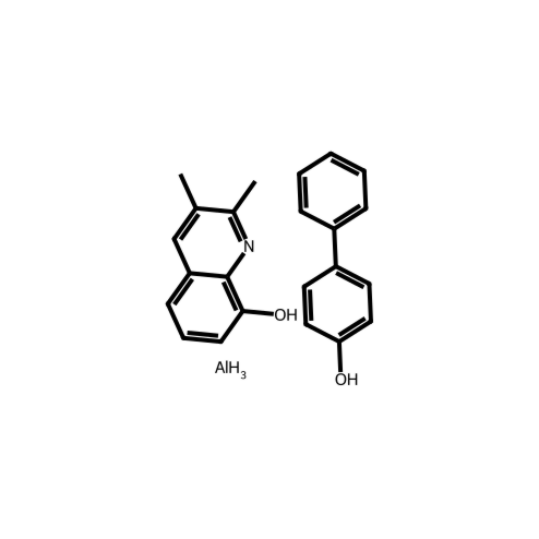 Cc1cc2cccc(O)c2nc1C.Oc1ccc(-c2ccccc2)cc1.[AlH3]